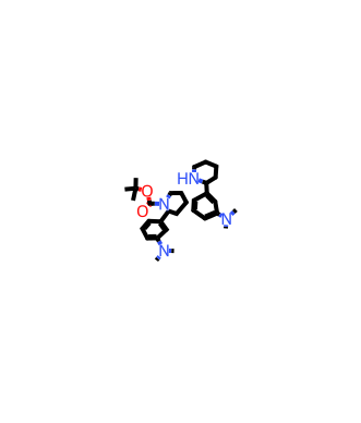 CN(C)c1cccc(C2CCCCN2)c1.CN(C)c1cccc(C2CCCCN2C(=O)OC(C)(C)C)c1